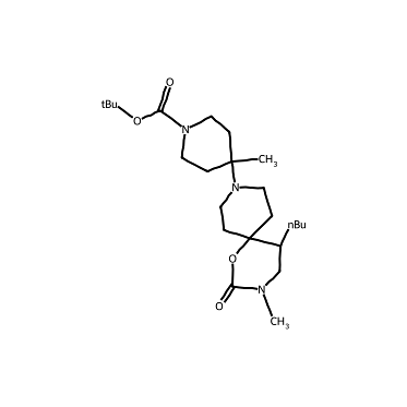 CCCCC1CN(C)C(=O)OC12CCN(C1(C)CCN(C(=O)OC(C)(C)C)CC1)CC2